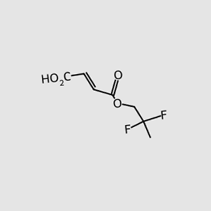 CC(F)(F)COC(=O)/C=C/C(=O)O